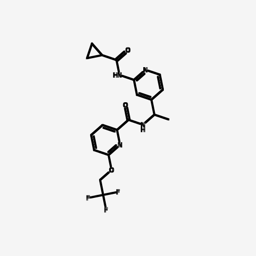 CC(NC(=O)c1cccc(OCC(F)(F)F)n1)c1ccnc(NC(=O)C2CC2)c1